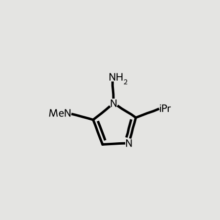 CNc1cnc(C(C)C)n1N